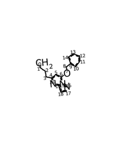 C=CCCc1cc(OCc2ccccc2)n2nccc2n1